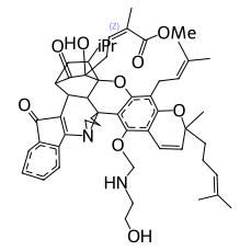 COC(=O)/C(C)=C\CC1(O)C(=O)C2CC(C(C)C)C13Oc1c(CC=C(C)C)c4c(c(OCNCCO)c1C15CCCN1C1=C(C(=O)c6ccccc61)C2C53)C=CC(C)(CCC=C(C)C)O4